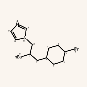 CCCCC(CC1CCC(C(C)C)CC1)Cn1ccnc1